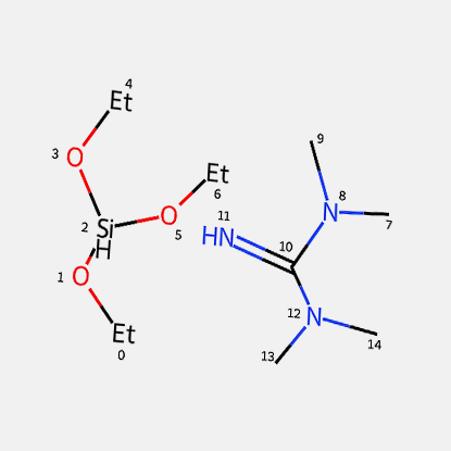 CCO[SiH](OCC)OCC.CN(C)C(=N)N(C)C